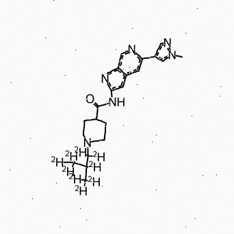 [2H]C([2H])([2H])C([2H])(C([2H])([2H])[2H])C([2H])([2H])N1CCC(C(=O)Nc2cc3cc(-c4cnn(C)c4)ncc3cn2)CC1